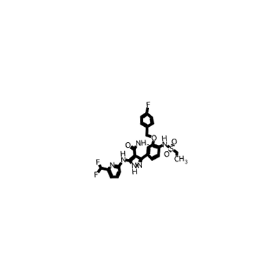 CCS(=O)(=O)Nc1ccc(-c2n[nH]c(Nc3cccc(C(F)F)n3)c2C(N)=O)cc1OCc1ccc(F)cc1